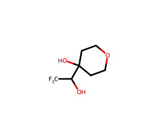 OC(C(F)(F)F)C1(O)CCOCC1